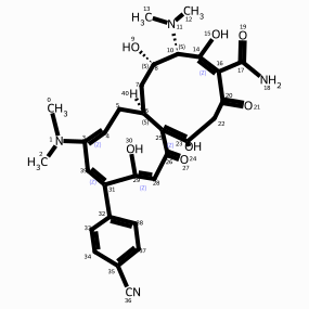 CN(C)C1=C\C[C@H]2C[C@H](O)[C@H](N(C)C)/C(O)=C(/C(N)=O)C(=O)C/C(O)=C\2C(=O)/C=C(O)/C(c2ccc(C#N)cc2)=C\1